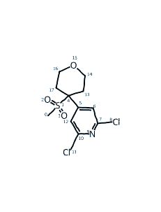 CS(=O)(=O)C1(c2cc(Cl)nc(Cl)c2)CCOCC1